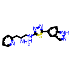 N[C@@H](CNc1nnc(-c2ccc3[nH]ncc3c2)s1)Cc1ccccn1